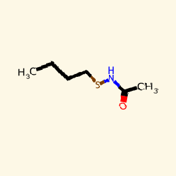 CCCCSNC(C)=O